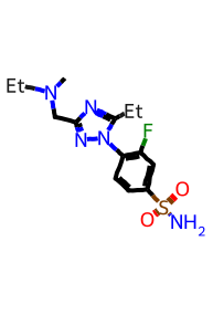 CCc1nc(CN(C)CC)nn1-c1ccc(S(N)(=O)=O)cc1F